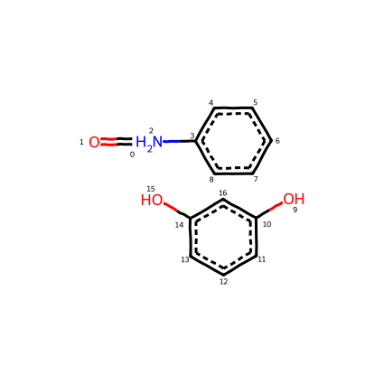 C=O.Nc1ccccc1.Oc1cccc(O)c1